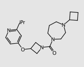 CC(C)c1cc(OC2CN(C(=O)N3CCCN(C4CCC4)CC3)C2)ccn1